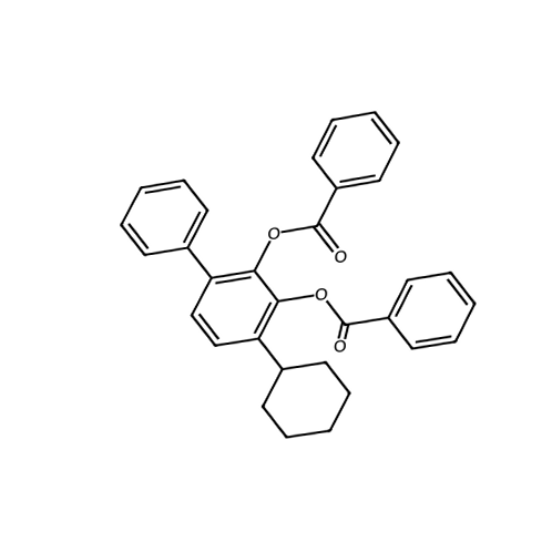 O=C(Oc1c(-c2ccccc2)ccc(C2CCCCC2)c1OC(=O)c1ccccc1)c1ccccc1